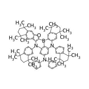 CC1(C)CCC(C)(C)c2cc(N3c4cc5c(cc4B4c6oc7cc8c(cc7c6N(c6ccc7c(c6)C(C)(C)CCC7(C)C)c6cc(N(c7ccccc7)c7ccccc7)cc3c64)C(C)(C)CCC8(C)C)C(C)(C)CCC5(C)C)ccc21